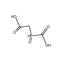 O=C(O)C[PH](=O)C(=O)O